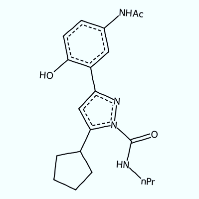 CCCNC(=O)n1nc(-c2cc(NC(C)=O)ccc2O)cc1C1CCCC1